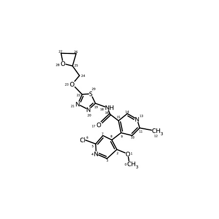 COc1cnc(Cl)cc1-c1cc(C)ncc1C(=O)Nc1nnc(OCC2CCO2)s1